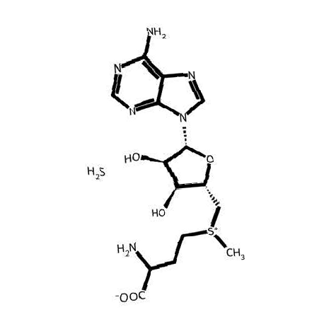 C[S+](CCC(N)C(=O)[O-])C[C@H]1O[C@@H](n2cnc3c(N)ncnc32)[C@H](O)[C@@H]1O.S